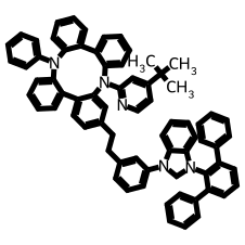 CC(C)(C)c1ccnc(N2c3ccccc3-c3ccccc3N(c3ccccc3)c3ccccc3-c3ccc(CCc4cccc(N5CN(c6c(-c7ccccc7)cccc6-c6ccccc6)c6ccccc65)c4)cc32)c1